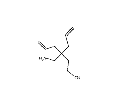 C=CCC(CN)(CC=C)CCC#N